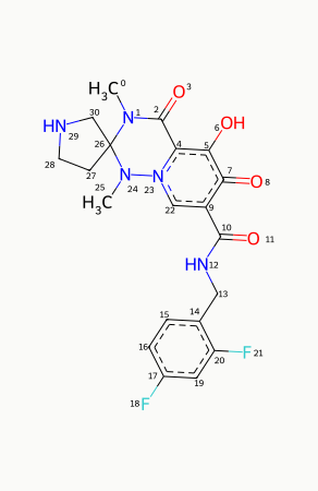 CN1C(=O)c2c(O)c(=O)c(C(=O)NCc3ccc(F)cc3F)cn2N(C)C12CCNC2